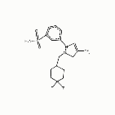 NS(=O)(=O)c1cccc(N2C=C(C(F)(F)F)CN2CC2CCC(F)(F)CC2)c1